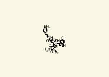 CC(C)Cn1c(=O)n(C)c(=O)c2c(-c3cc(C(=O)NCCCN4CCN(C)CC4)cn3C)n(Cc3c[nH]c4ccc(Cl)cc34)nc21